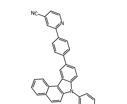 N#Cc1ccnc(-c2ccc(-c3ccc4c(c3)c3c5ccccc5ccc3n4-c3ccccc3)cc2)c1